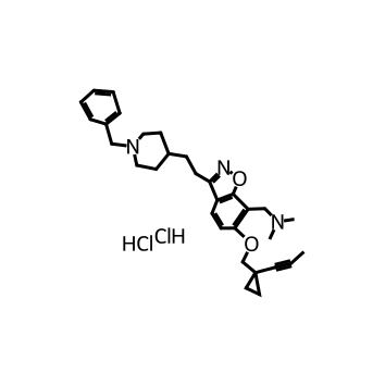 CC#CC1(COc2ccc3c(CCC4CCN(Cc5ccccc5)CC4)noc3c2CN(C)C)CC1.Cl.Cl